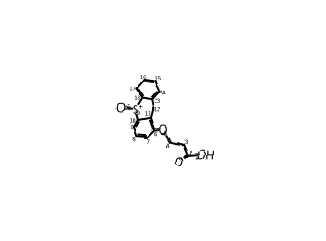 O=C(O)CCOc1cccc2c1Cc1ccccc1[S+]2[O-]